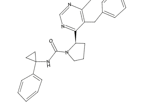 Cc1ncnc([C@H]2CCCN2C(=O)NC2(c3ccccc3)CC2)c1Cc1ccc(Cl)cc1